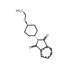 O=C(O)CO[C@H]1CC[C@H](N2C(=O)c3ccccc3C2=O)CC1